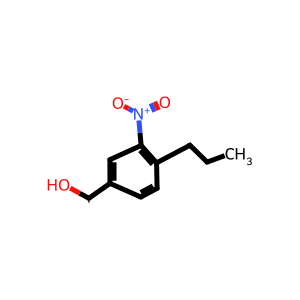 CCCc1ccc([CH]O)cc1[N+](=O)[O-]